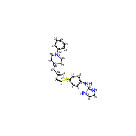 C1=C[SH](c2ccc(NC3=NCCN3)cc2)C=C1CN1CCN(c2ccccc2)CC1